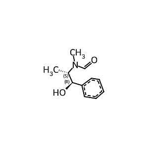 C[C@@H]([C@H](O)c1ccccc1)N(C)C=O